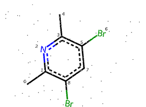 Cc1nc(C)c(Br)cc1Br